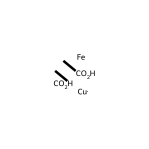 CC(=O)O.CC(=O)O.[Cu].[Fe]